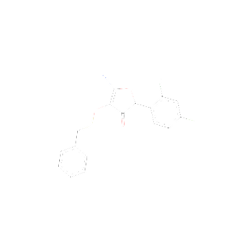 NC1=C(OSCc2ccccc2)C(=O)C(c2ccc(F)cc2Cl)O1